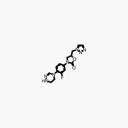 O=C1OC(Cn2ccnn2)CN1c1ccc(N2C=NNCC2)c(F)c1